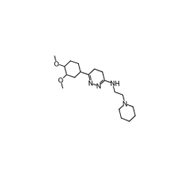 COC1CCC(C2=NN=C(NCCN3CCCCC3)CC2)CC1OC